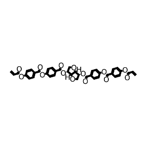 C=CC(=O)Oc1ccc(C(=O)Oc2ccc(C(=O)O[C@@H]3CO[C@H]4[C@@H]3OC[C@H]4OC(=O)c3ccc(OC(=O)c4ccc(OC(=O)C=C)cc4)cc3)cc2)cc1